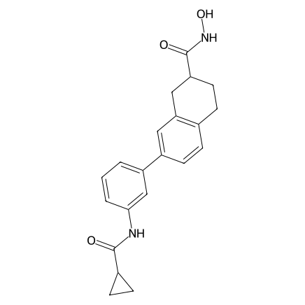 O=C(NO)C1CCc2ccc(-c3cccc(NC(=O)C4CC4)c3)cc2C1